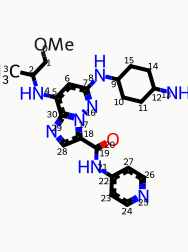 COCC(C)Nc1cc(NC2CCC(N)CC2)nn2c(C(=O)Nc3ccncc3)cnc12